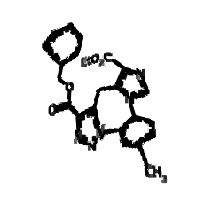 CCOC(=O)c1ncn2c1Cc1c(C(=O)OCc3ccccc3)nnn1-c1cc(C)ccc1-2